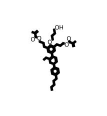 C=C(C)C(=O)OCCCc1cc(C2=C(CC)CC(c3ccc(CCCCC)cc3)C=C2)cc(CCCOC(=O)C(=C)C)c1OCCCCO